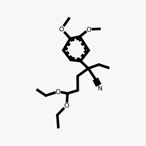 CCOC(CCC(C#N)(CC)c1ccc(OC)c(OC)c1)OCC